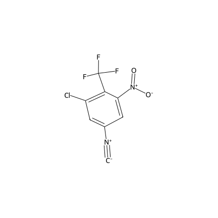 [C-]#[N+]c1cc(Cl)c(C(F)(F)F)c([N+](=O)[O-])c1